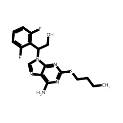 CCCCSc1nc(N)c2ncn(C(CO)c3c(F)cccc3F)c2n1